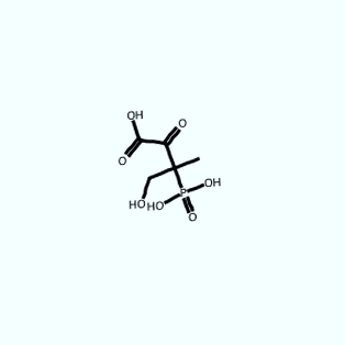 CC(CO)(C(=O)C(=O)O)P(=O)(O)O